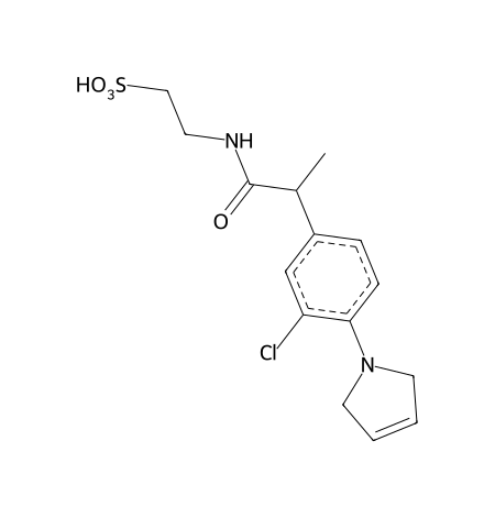 CC(C(=O)NCCS(=O)(=O)O)c1ccc(N2CC=CC2)c(Cl)c1